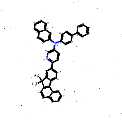 CC1(C)c2cc(-c3ccc(N(c4ccc(-c5ccccc5)cc4)c4ccc5ccccc5c4)cn3)ccc2-c2c1ccc1ccccc21